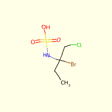 CCC(Br)(CCl)NS(=O)(=O)O